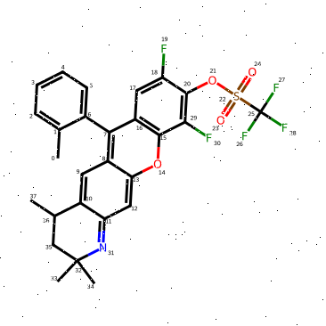 Cc1ccccc1C1=c2cc3c(cc2Oc2c1cc(F)c(OS(=O)(=O)C(F)(F)F)c2F)=NC(C)(C)CC3C